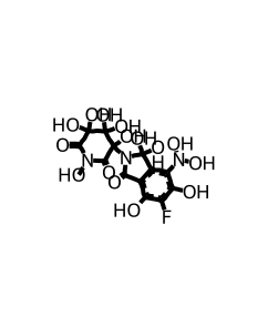 O=C1c2c(O)c(F)c(O)c(N(O)O)c2C(O)(O)N1C1(O)C(=O)N(O)C(=O)C(O)(O)C1(O)O